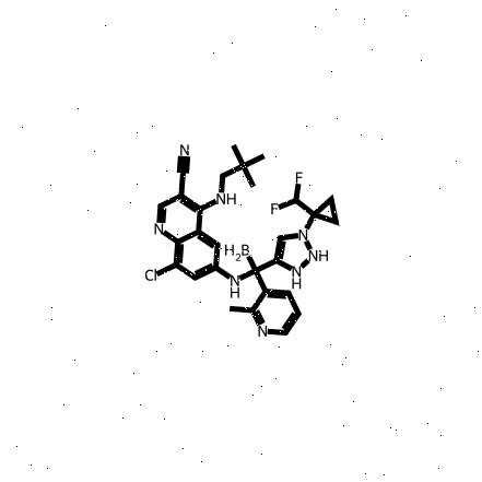 BC(Nc1cc(Cl)c2ncc(C#N)c(NCC(C)(C)C)c2c1)(C1=CN(C2(C(F)F)CC2)NN1)c1cccnc1C